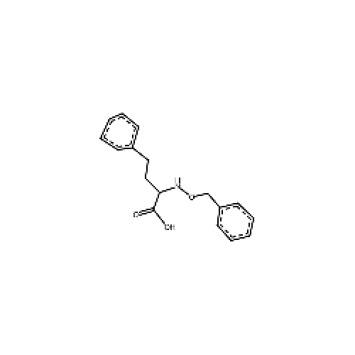 O=C(O)C(CCc1ccccc1)NOCc1ccccc1